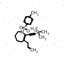 C=CCC1=C(C#C[Si](C)(C)C)N(S(=O)(=O)c2ccc(C)cc2)CCCC1